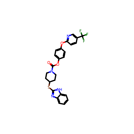 O=C(Oc1ccc(Oc2ccc(C(F)(F)F)cn2)cc1)N1CCC(Sc2nc3ccccc3[nH]2)CC1